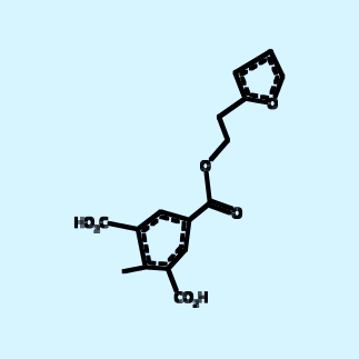 Cc1c(C(=O)O)cc(C(=O)OCCc2ccco2)cc1C(=O)O